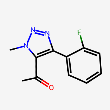 CC(=O)c1c(-c2ccccc2F)nnn1C